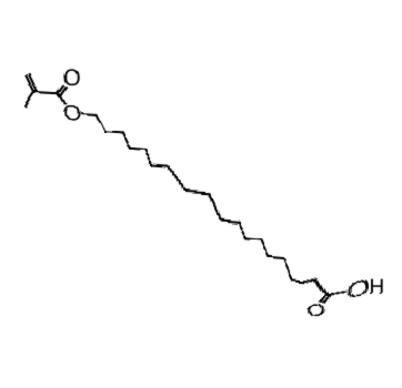 C=C(C)C(=O)OCCCCCCCCCCCCCCCCCC(=O)O